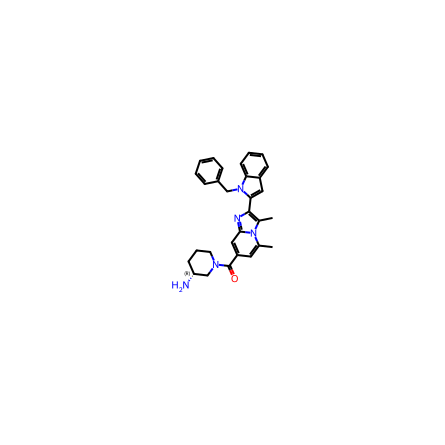 Cc1cc(C(=O)N2CCC[C@@H](N)C2)cc2nc(-c3cc4ccccc4n3Cc3ccccc3)c(C)n12